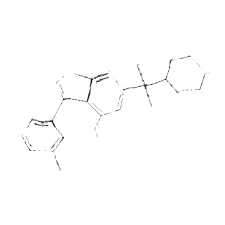 Cc1cccc(-c2coc3nc(C(C)(C)C4CCCCC4)cc(O)c23)c1